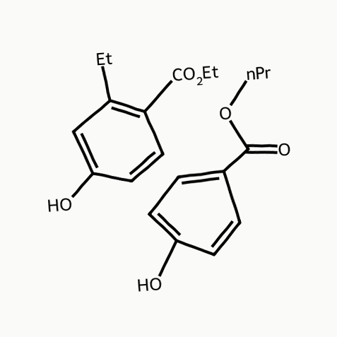 CCCOC(=O)c1ccc(O)cc1.CCOC(=O)c1ccc(O)cc1CC